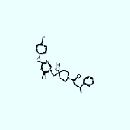 CC(CC(=O)N1CCC(O)(Cn2cnc(Oc3ccc(F)cc3)cc2=O)CC1)c1ccccc1